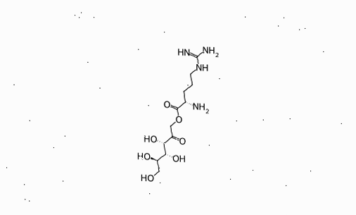 N=C(N)NCCC[C@H](N)C(=O)OCC(=O)[C@@H](O)[C@H](O)[C@H](O)CO